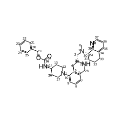 CN(C[C@H]1Cc2c(cccc2N2CCC(NC(=O)OCc3ccccc3)CC2)CN1)[C@H]1CCCc2cccnc21